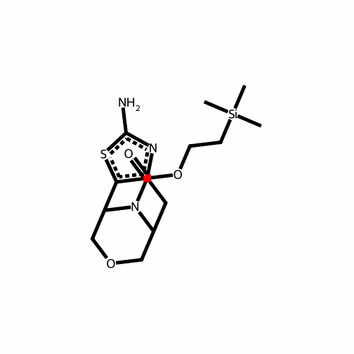 C[Si](C)(C)CCOC(=O)N1C2COCC1c1sc(N)nc1C2